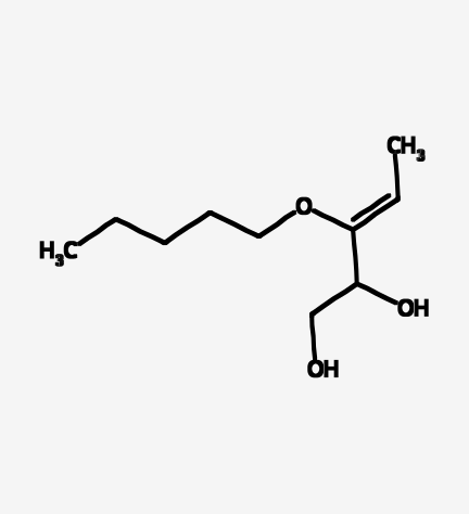 CC=C(OCCCCC)C(O)CO